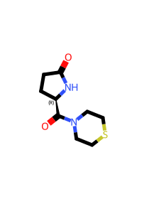 O=C1CC[C@H](C(=O)N2CCSCC2)N1